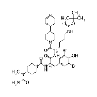 CN(C(N)=O)C1CCN(C(=O)N[C@H](Cc2cc(Br)c(O)c(Br)c2)C(=O)N[C@@H](CCCCNC(=O)OC(C)(C)C)C(=O)N2CCC(c3ccncc3)CC2)CC1